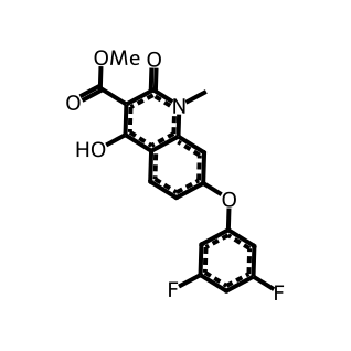 COC(=O)c1c(O)c2ccc(Oc3cc(F)cc(F)c3)cc2n(C)c1=O